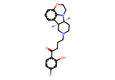 O=C(CCCN1CC[C@H]2[C@@H](C1)c1cccc3c1N2CCO3)c1ccc(F)cc1O